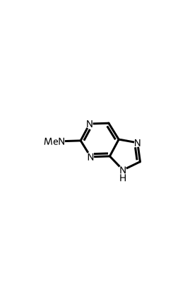 CNc1ncc2nc[nH]c2n1